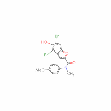 COc1ccc(N(C)C(=O)c2cc3c(Br)c(O)c(Br)cc3o2)cc1